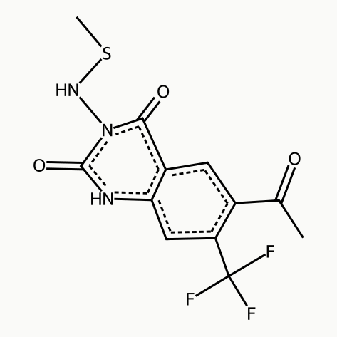 CSNn1c(=O)[nH]c2cc(C(F)(F)F)c(C(C)=O)cc2c1=O